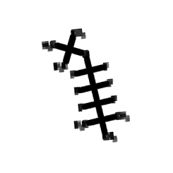 CC(C)(C)OC(F)(F)C(F)(F)C(F)(F)C(C)(C)C